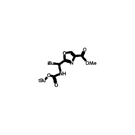 CCC(C)C(NC(=O)OC(C)(C)C)c1nc(C(=O)OC)co1